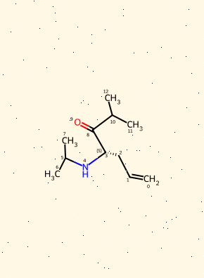 C=CC[C@H](NC(C)C)C(=O)C(C)C